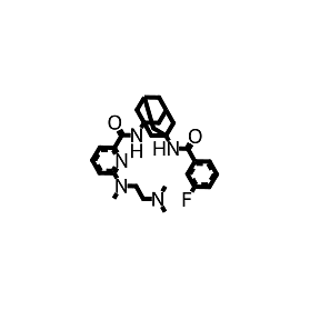 CN(C)CCN(C)c1cccc(C(=O)NC23CC4CC(CC(NC(=O)c5cccc(F)c5)(C4)C2)C3)n1